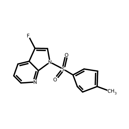 Cc1ccc(S(=O)(=O)n2cc(F)c3cccnc32)cc1